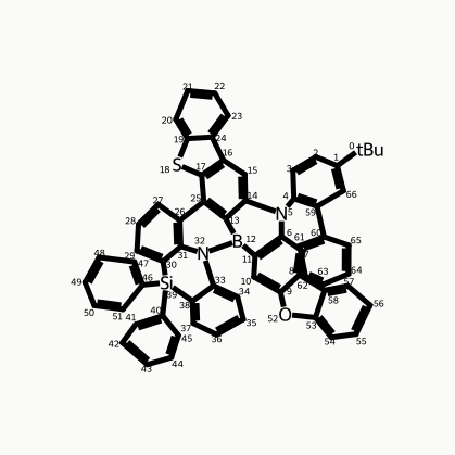 CC(C)(C)c1ccc(N2c3cc4c(cc3B3c5c2cc2c(sc6ccccc62)c5-c2cccc5c2N3c2ccccc2[Si]5(c2ccccc2)c2ccccc2)oc2ccccc24)c(-c2ccccc2)c1